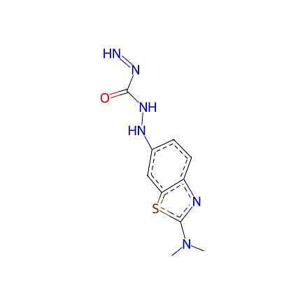 CN(C)c1nc2ccc(NNC(=O)N=N)cc2s1